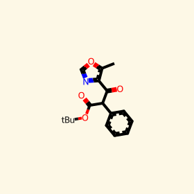 Cc1ocnc1C(=O)C(C(=O)OC(C)(C)C)c1ccccc1